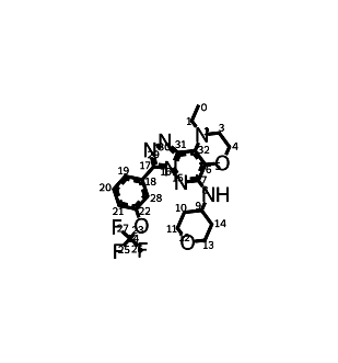 CCN1CCOc2c(NC3CCOCC3)nn3c(-c4cccc(OC(F)(F)F)c4)nnc3c21